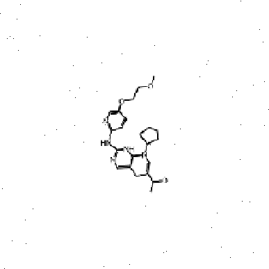 COCCOc1ccc(NC2=NC=C3CC(C(C)=O)=CN(C4CCCC4)C3N2)nc1